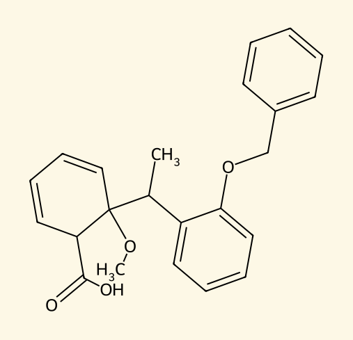 COC1(C(C)c2ccccc2OCc2ccccc2)C=CC=CC1C(=O)O